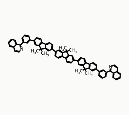 CC1(C)c2cc(-c3cccc(-c4nccc5ccccc45)c3)ccc2-c2ccc(-c3ccc4c(c3)C(C)(C)c3cc(-c5ccc6c(c5)C(C)(C)c5cc(-c7cccc(-c8nccc9ccccc89)c7)ccc5-6)ccc3-4)cc21